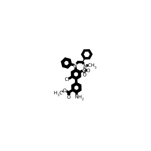 COC(=O)c1cc(-c2cc3c(cc2Cl)N(c2ccccc2)C[C@@H](C2CCCCC2)N(C)S3(=O)=O)ccc1N